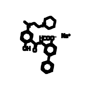 CN(CCN1CCCCC1)c1ccc(O)c(C(=O)Nc2cc(-c3ccccc3)ccc2C(=O)[O-])c1.[Na+]